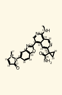 CNc1ncc(-c2nc3cc(-n4c(=O)ccn4C)ccc3o2)c2cc(C3(C(N)=O)CC3)ncc12